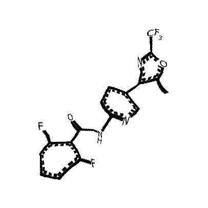 Cc1oc(C(F)(F)F)nc1-c1ccc(NC(=O)c2c(F)cccc2F)nc1